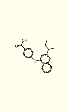 CCC(C)c1cc(Oc2ccc(C(=O)O)cc2)c2ccccc2n1